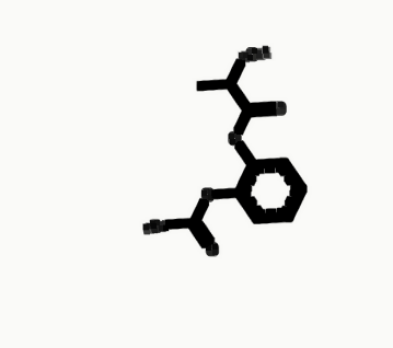 CCCCCCCCC(C)C(=O)Oc1ccccc1OC(=O)CCCC